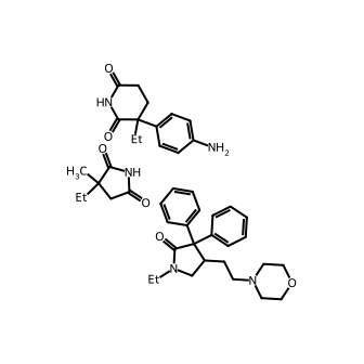 CCC1(C)CC(=O)NC1=O.CCC1(c2ccc(N)cc2)CCC(=O)NC1=O.CCN1CC(CCN2CCOCC2)C(c2ccccc2)(c2ccccc2)C1=O